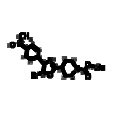 C[S+]([O-])c1ccc(-c2nc(C3CCN(C(=O)OC(C)(C)C)CC3)oc2Br)cc1